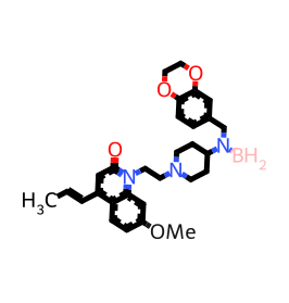 BN(Cc1ccc2c(c1)OCCO2)C1CCN(CCn2c(=O)cc(/C=C/C)c3ccc(OC)cc32)CC1